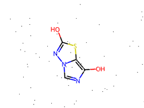 Oc1nn2cnc(O)c2s1